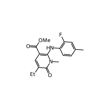 CCc1cc(C(=O)OC)c(Nc2ccc(C)cc2F)n(C)c1=O